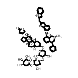 CN1Cc2c(N)cccc2C(c2ccccc2)C1.C[C@H]1O[C@@H](O[C@H]2[C@@H](O)C[C@H](O[C@H]3[C@@H](O)C[C@H](O[C@H]4CC[C@@]5(C)[C@H](CC[C@@H]6[C@@H]5CC[C@]5(C)[C@@H](C7=CC(=O)OC7)CC[C@]65O)C4)O[C@@H]3C)O[C@@H]2C)C[C@H](O)[C@@H]1O.c1ccc2[nH]c(Cc3cc4ccccc4[nH]3)cc2c1